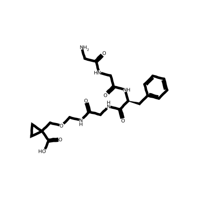 NCC(=O)NCC(=O)N[C@@H](Cc1ccccc1)C(=O)NCC(=O)NCOCC1(C(=O)O)CC1